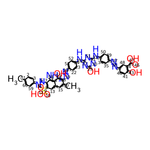 Cc1ccc(/N=N/c2c(S(=O)(=O)O)cc3cc(C)c(/N=N/c4ccc(Nc5nc(O)nc(Nc6ccc(N=Nc7ccc(O)c(C(=O)O)c7)cc6)n5)cc4)c(O)c3c2N)cc1